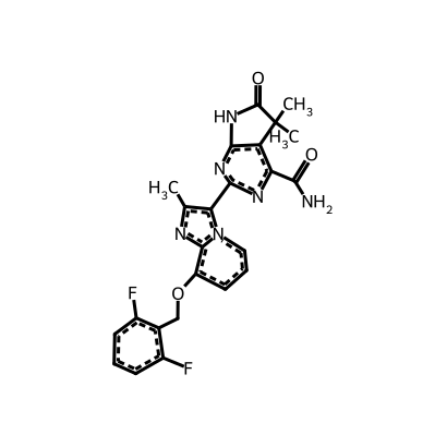 Cc1nc2c(OCc3c(F)cccc3F)cccn2c1-c1nc2c(c(C(N)=O)n1)C(C)(C)C(=O)N2